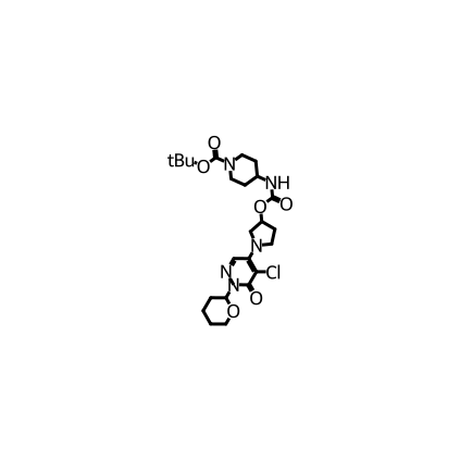 CC(C)(C)OC(=O)N1CCC(NC(=O)OC2CCN(c3cnn(C4CCCCO4)c(=O)c3Cl)C2)CC1